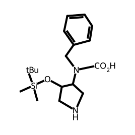 CC(C)(C)[Si](C)(C)OC1CNCC1N(Cc1ccccc1)C(=O)O